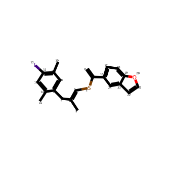 C=C(S/C=C(\C)Cc1cc(C)c(I)cc1C)c1ccc2occc2c1